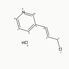 Cl.ClC/C=C/c1cccnc1